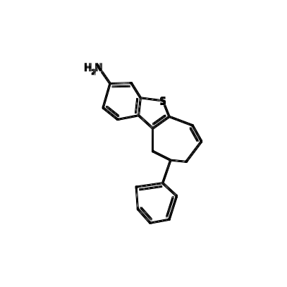 Nc1ccc2c3c(sc2c1)C=CCC(c1ccccc1)C3